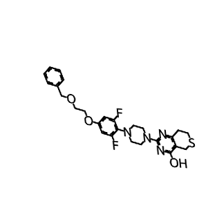 Oc1nc(N2CCN(c3c(F)cc(OCCOCc4ccccc4)cc3F)CC2)nc2c1CSCC2